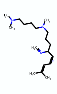 C=NC(/C=C\C=C(C)C)CCCN(C)CCCCN(C)C